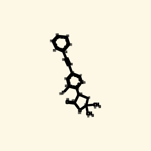 CC1(C)CN(c2ncc(C#Cc3ccccc3)cc2F)C(=O)O1